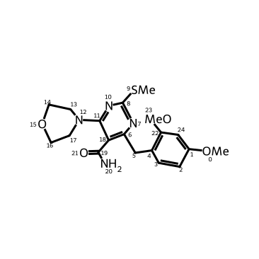 COc1ccc(Cc2nc(SC)nc(N3CCOCC3)c2C(N)=O)c(OC)c1